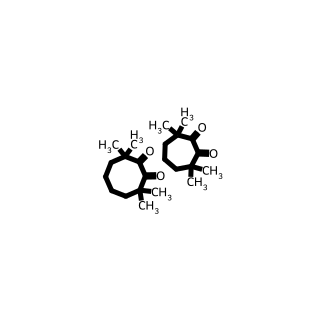 CC1(C)CCCC(C)(C)C(=O)C1=O.CC1(C)CCCCC(C)(C)C(=O)C1=O